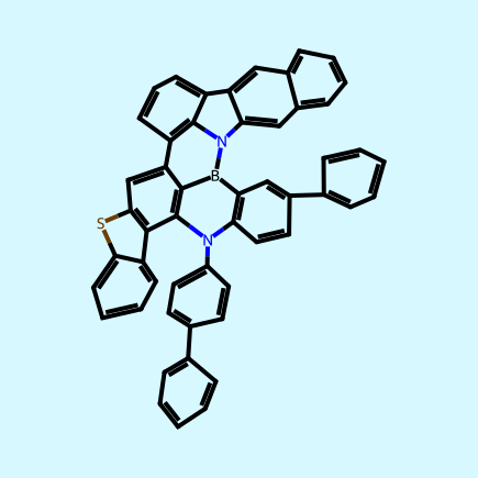 c1ccc(-c2ccc(N3c4ccc(-c5ccccc5)cc4B4c5c(cc6sc7ccccc7c6c53)-c3cccc5c6cc7ccccc7cc6n4c35)cc2)cc1